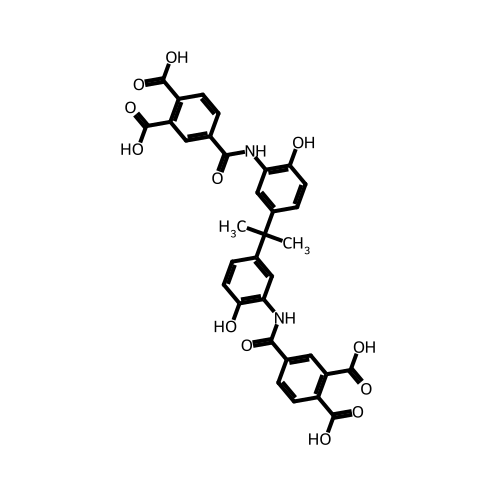 CC(C)(c1ccc(O)c(NC(=O)c2ccc(C(=O)O)c(C(=O)O)c2)c1)c1ccc(O)c(NC(=O)c2ccc(C(=O)O)c(C(=O)O)c2)c1